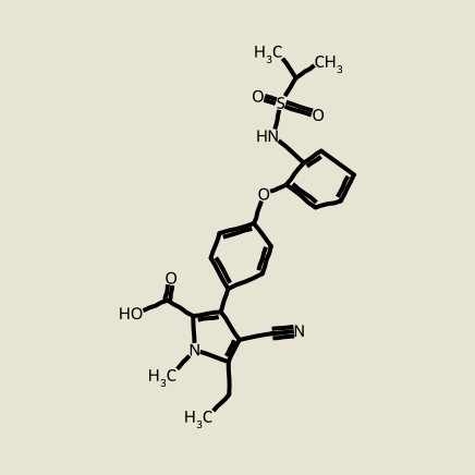 CCc1c(C#N)c(-c2ccc(Oc3ccccc3NS(=O)(=O)C(C)C)cc2)c(C(=O)O)n1C